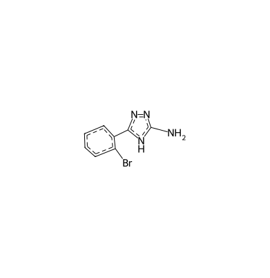 Nc1nnc(-c2ccccc2Br)[nH]1